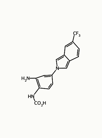 Nc1cc(-n2cc3ccc(C(F)(F)F)cc3c2)ccc1NC(=O)O